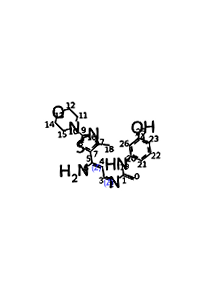 C=C(/N=C\C=C(/N)c1sc(N2CCOCC2)nc1C)Nc1cccc(O)c1